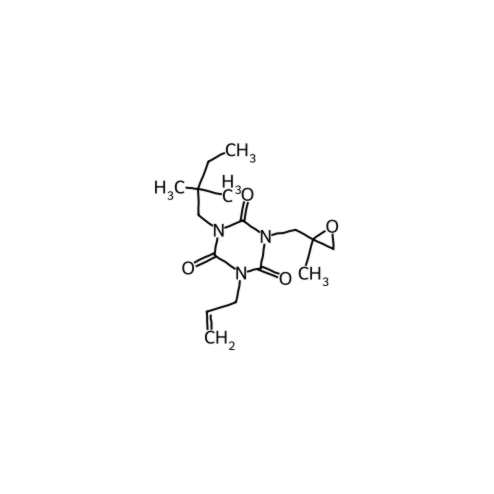 C=CCn1c(=O)n(CC(C)(C)CC)c(=O)n(CC2(C)CO2)c1=O